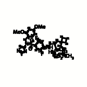 COc1ccc(CN(c2ncns2)S(=O)(=O)c2cc(F)c(NC[C@H](CC3(CCN(C)C)CCC3)[C@@H](C)NC(=O)O)cc2F)c(OC)c1